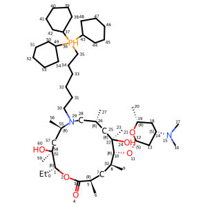 CC[C@H]1OC(=O)[C@H](C)C[C@H](C)[C@@H](O[C@H]2C[C@@H](N(C)C)C[C@@H](C)O2)[C@](C)(O)C[C@@H](C)CN(CCCCCC[PH](C2CCCCC2)(C2CCCCC2)C2CCCCC2)[C@H](C)C[C@]1(C)O